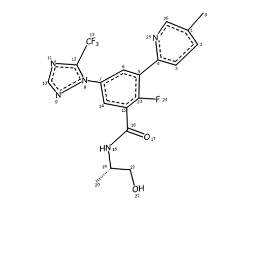 Cc1ccc(-c2cc(-n3ncnc3C(F)(F)F)cc(C(=O)N[C@@H](C)CO)c2F)nc1